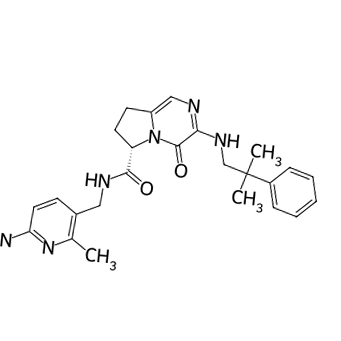 Cc1nc(N)ccc1CNC(=O)[C@@H]1CCc2cnc(NCC(C)(C)c3ccccc3)c(=O)n21